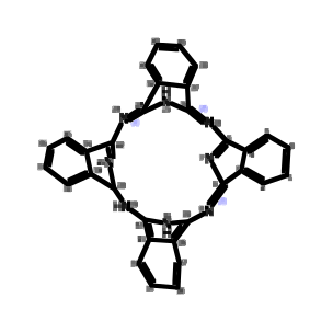 c1ccc2c(c1)C1=NC/2=N\c2[nH]c(c3ccccc23)NC2N=C(/N=c3\[nH]/c(c4ccccc34)=N\1)c1ccccc12